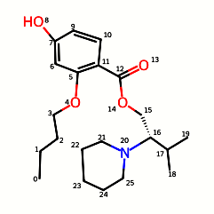 CCCCOc1cc(O)ccc1C(=O)OC[C@H](C(C)C)N1CCCCC1